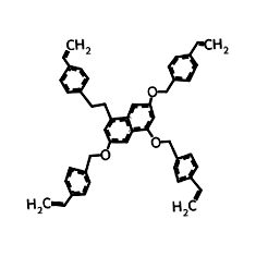 C=Cc1ccc(CCc2cc(OCc3ccc(C=C)cc3)cc3c(OCc4ccc(C=C)cc4)cc(OCc4ccc(C=C)cc4)cc23)cc1